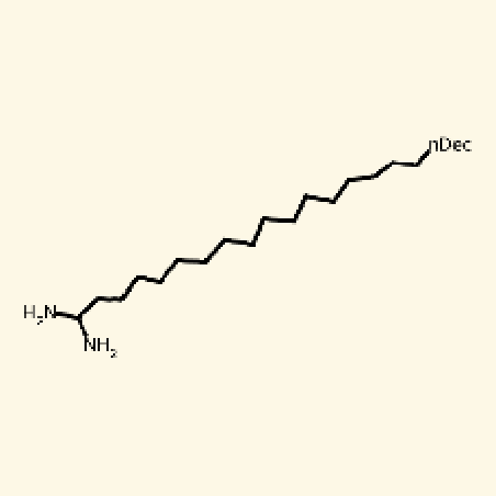 CCCCCCCCCCCCCCCCCCCCCCCCCCC(N)N